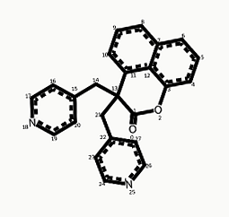 O=C1Oc2cccc3cccc(c23)C1(Cc1ccncc1)Cc1ccncc1